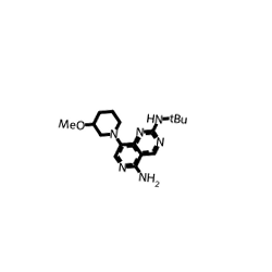 COC1CCCN(c2cnc(N)c3cnc(NC(C)(C)C)nc23)C1